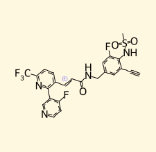 C#Cc1cc(CNC(=O)/C=C/c2ccc(C(F)(F)F)nc2-c2cnccc2F)cc(F)c1NS(C)(=O)=O